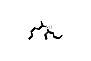 C=C/C=C\C=C(/C)N/C(C=C)=C/C=C\C